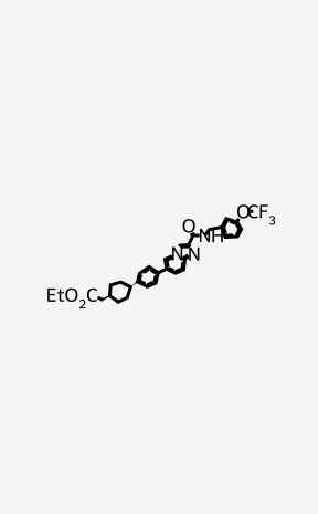 CCOC(=O)C[C@H]1CC[C@H](c2ccc(-c3ccc4nc(C(=O)NCc5cccc(OC(F)(F)F)c5)cn4c3)cc2)CC1